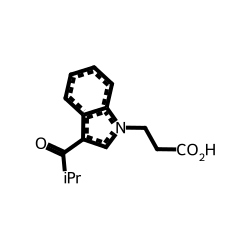 CC(C)C(=O)c1cn(CCC(=O)O)c2ccccc12